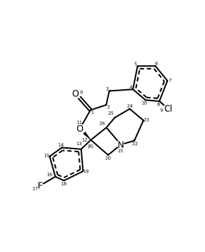 O=C(CCc1cccc(Cl)c1)O[C@]1(c2ccc(F)cc2)CN2CCCCC21